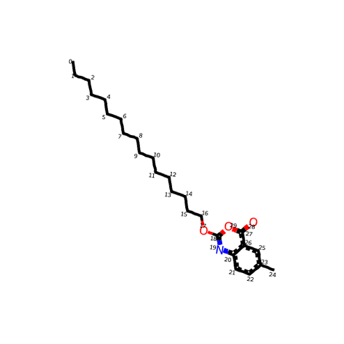 CCCCCCCCCCCCCCCCCOc1nc2ccc(C)cc2c(=O)o1